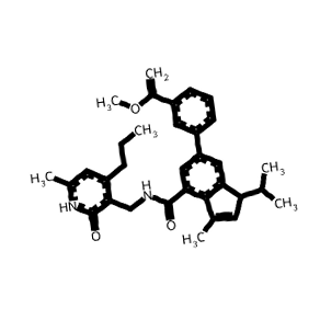 C=C(OC)c1cccc(-c2cc(C(=O)NCc3c(CCC)cc(C)[nH]c3=O)c3c(c2)C(C(C)C)C=C3C)c1